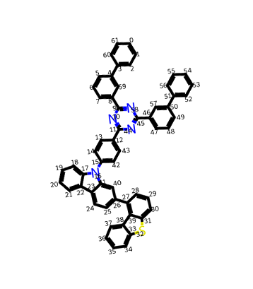 c1ccc(-c2cccc(-c3nc(-c4ccc(-n5c6ccccc6c6ccc(-c7cccc8sc9ccccc9c78)cc65)cc4)nc(-c4cccc(-c5ccccc5)c4)n3)c2)cc1